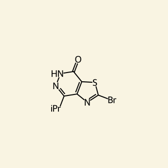 CC(C)c1n[nH]c(=O)c2sc(Br)nc12